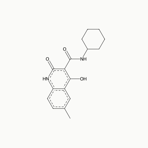 Cc1ccc2[nH]c(=O)c(C(=O)NC3CCCCC3)c(O)c2c1